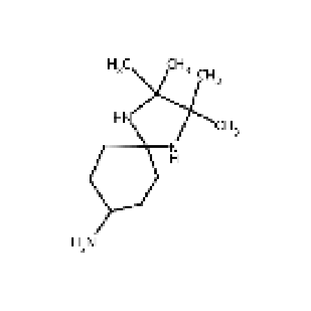 CC1(C)NC2(CCC(N)CC2)NC1(C)C